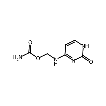 NC(=O)OCNc1cc[nH]c(=O)n1